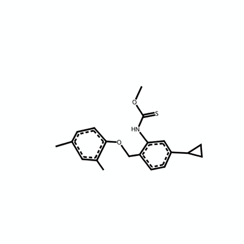 COC(=S)Nc1cc(C2CC2)ccc1COc1ccc(C)cc1C